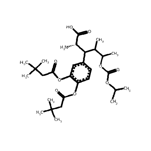 CC(C)OC(=O)OC(C)C(C)C(c1ccc(OC(=O)CC(C)(C)C)c(OC(=O)CC(C)(C)C)c1)[C@H](N)C(=O)O